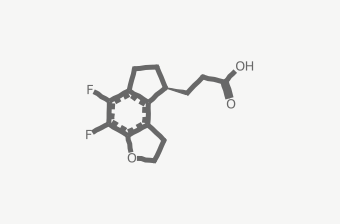 O=C(O)CC[C@@H]1CCc2c(F)c(F)c3c(c21)CCO3